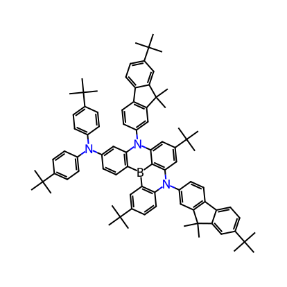 CC(C)(C)c1ccc(N(c2ccc(C(C)(C)C)cc2)c2ccc3c(c2)N(c2ccc4c(c2)C(C)(C)c2cc(C(C)(C)C)ccc2-4)c2cc(C(C)(C)C)cc4c2B3c2cc(C(C)(C)C)ccc2N4c2ccc3c(c2)C(C)(C)c2cc(C(C)(C)C)ccc2-3)cc1